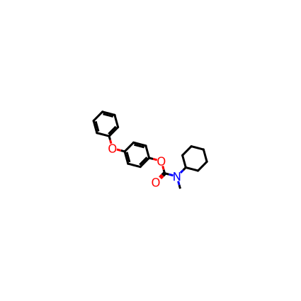 CN(C(=O)Oc1ccc(Oc2ccccc2)cc1)C1CCCCC1